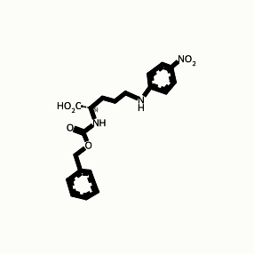 O=C(N[C@@H](CCCNc1ccc([N+](=O)[O-])cc1)C(=O)O)OCc1ccccc1